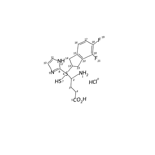 Cl.NC(CCC(=O)O)S(S)(c1ncc[nH]1)C1Cc2ccc(F)c(F)c2C1